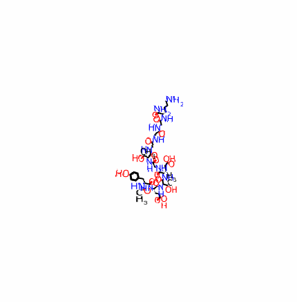 CC(=O)N[C@@H](Cc1ccc(O)cc1)C(=O)N[C@@H](CCC(=O)O)C(=O)NC(C(=O)N[C@@H](CCC(=O)O)C(=O)NCC(=O)N[C@H](C(=O)NCC(=O)NCC(=O)NCC(=O)N[C@@H](CCCCN)C(N)=O)C(C)O)[C@@H](C)O